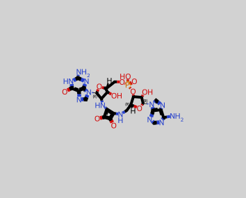 Nc1nc2c(ncn2[C@@H]2O[C@@H]3COP(=O)(O)OC4C(O)[C@H](n5cnc6c(N)ncnc65)O[C@@H]4CNc4c(c(=O)c4=O)NC2C3O)c(=O)[nH]1